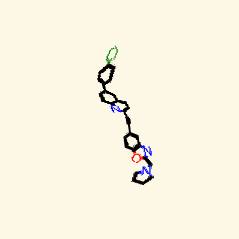 Clc1ccc(-c2ccc3nc(C#Cc4ccc5oc(CN6CCCC6)nc5c4)ccc3c2)cc1